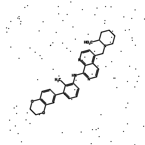 Cc1c(Nc2nccc3c(CN4CCCCC4C(=O)O)ccnc23)cccc1-c1ccc2c(c1)OCCO2